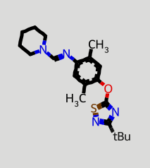 Cc1cc(Oc2nc(C(C)(C)C)ns2)c(C)cc1N=CN1CCCCC1